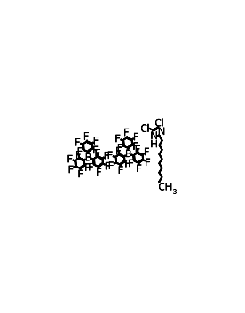 CCCCCCCCCCCc1nc(Cl)c(Cl)[nH]1.Fc1c(F)c(F)c(B(c2c(F)c(F)c(F)c(F)c2F)c2c(F)c(F)c(F)c(F)c2F)c(F)c1F.Fc1c(F)c(F)c(B(c2c(F)c(F)c(F)c(F)c2F)c2c(F)c(F)c(F)c(F)c2F)c(F)c1F